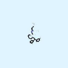 N=CC(O)/C(O)=C/C(=O)N1CCCCC1CC(c1cccc(F)c1)c1cccc(F)c1